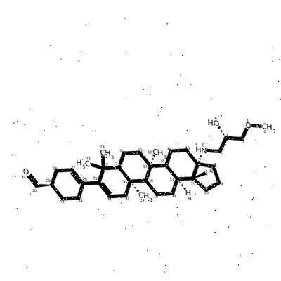 COC[C@@H](O)CN[C@]12CCC[C@]1(I)[C@H]1CCC3[C@@](C)(CCC4C(C)(C)C(C5=CC[C@H](C=O)CC5)=CC[C@@]43C)C1CC2